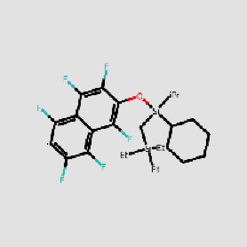 CC[Si](CC)(CC)C[Si](Oc1c(F)c(F)c2c(F)[c]c(F)c(F)c2c1F)(C(C)C)C1CCCCC1